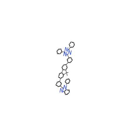 CC1(C)c2cc(-c3cccc(-c4nc(-c5ccccc5)nc(-c5ccccc5)n4)c3)ccc2-c2ccc(-c3cccc(-c4nc5ccccc5n4-c4ccccc4)c3)cc21